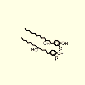 CCCCCCCC(O)CCCCc1ccc(O)c(OC)c1.CCCCCCCCCC(O)CCc1ccc(O)c(OC)c1